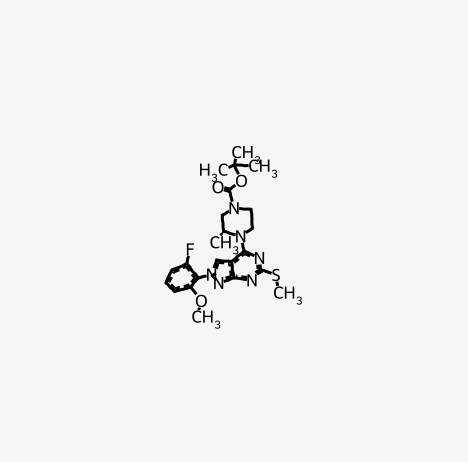 COc1cccc(F)c1-n1cc2c(N3CCN(C(=O)OC(C)(C)C)C[C@@H]3C)nc(SC)nc2n1